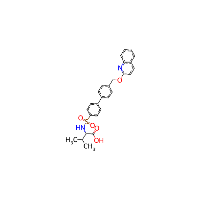 CC(C)[C@@H](NS(=O)(=O)c1ccc(-c2ccc(COc3ccc4ccccc4n3)cc2)cc1)C(=O)O